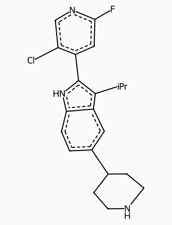 CC(C)c1c(-c2cc(F)ncc2Cl)[nH]c2ccc(C3CCNCC3)cc12